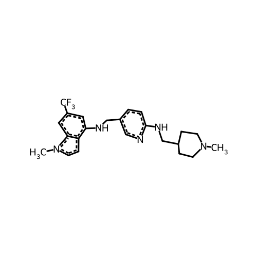 CN1CCC(CNc2ccc(CNc3cc(C(F)(F)F)cc4c3ccn4C)cn2)CC1